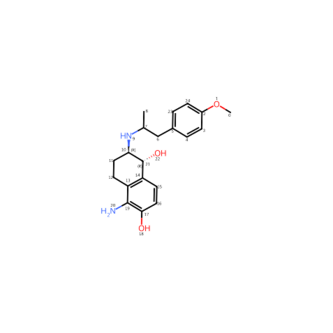 COc1ccc(CC(C)N[C@@H]2CCc3c(ccc(O)c3N)[C@H]2O)cc1